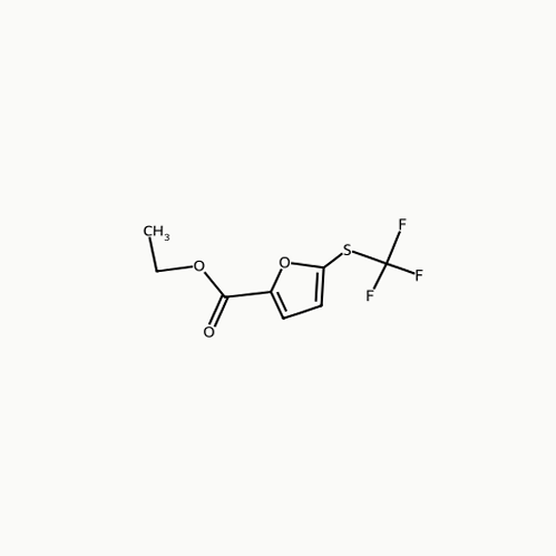 CCOC(=O)c1ccc(SC(F)(F)F)o1